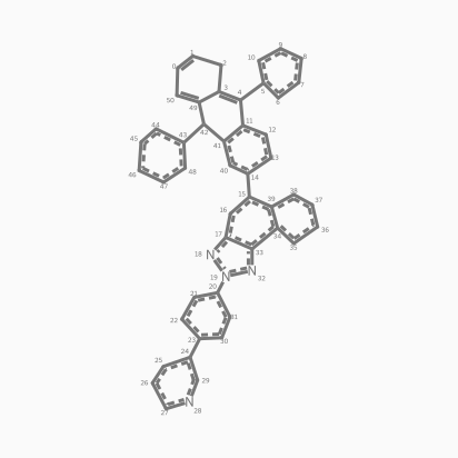 C1=CCC2=C(c3ccccc3)c3ccc(-c4cc5nn(-c6ccc(-c7cccnc7)cc6)nc5c5ccccc45)cc3C(c3ccccc3)C2=C1